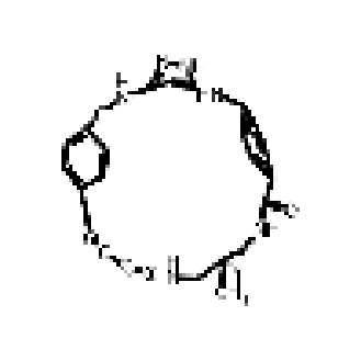 C[C@H]1CNCCCOc2ccc(cc2)CNc2cc([nH]n2)Nc2ccc(cc2)C(=O)NC1